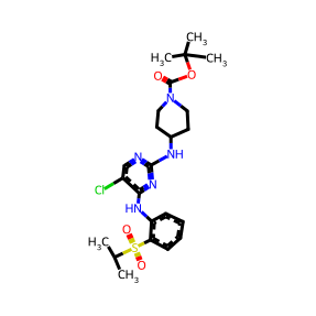 CC(C)S(=O)(=O)c1ccccc1Nc1nc(NC2CCN(C(=O)OC(C)(C)C)CC2)ncc1Cl